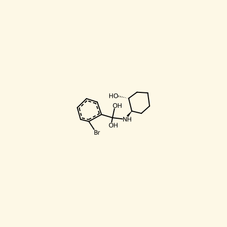 O[C@@H]1CCCC[C@H]1NC(O)(O)c1ccccc1Br